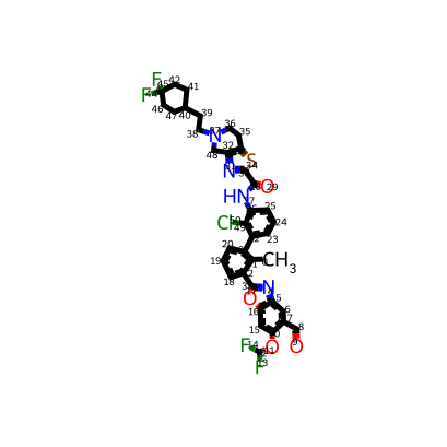 Cc1c(-c2nc3cc(C=O)c(OC(F)F)cc3o2)cccc1-c1cccc(NC(=O)c2nc3c(s2)CCN(CCC2CCC(F)(F)CC2)C3)c1Cl